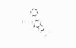 Cn1c(-c2ccccn2)nc2sc([S+](C)[O-])nc2c1=O